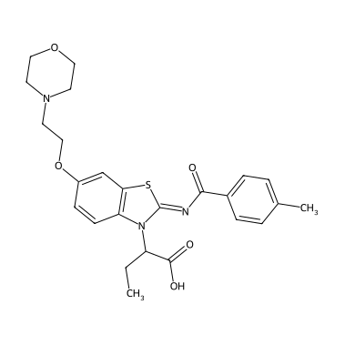 CCC(C(=O)O)n1/c(=N/C(=O)c2ccc(C)cc2)sc2cc(OCCN3CCOCC3)ccc21